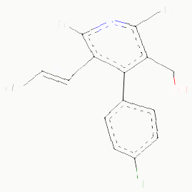 CCC/C=C/c1c(C(C)C)nc(C(C)C)c(CO)c1-c1ccc(Cl)cc1